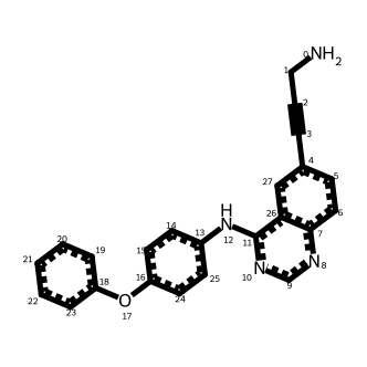 NCC#Cc1ccc2ncnc(Nc3ccc(Oc4ccccc4)cc3)c2c1